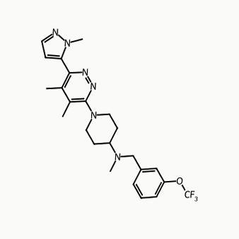 Cc1c(-c2ccnn2C)nnc(N2CCC(N(C)Cc3cccc(OC(F)(F)F)c3)CC2)c1C